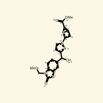 COCn1c(=O)sc2cc(C(C)c3ccn(-c4cc5c(C(=O)OC)n4-5)n3)ccc21